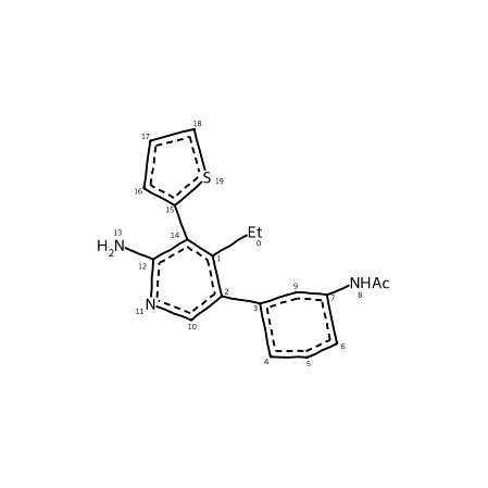 CCc1c(-c2cccc(NC(C)=O)c2)cnc(N)c1-c1cccs1